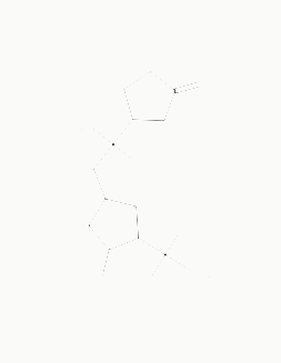 CC(C)(C)C1CC(CC(C)(C)C2CCC(=O)C2)CC1Cl